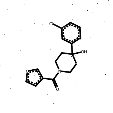 O=C(c1ccoc1)N1CCC(O)(c2cccc(Cl)c2)CC1